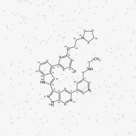 CCNCc1cncc(-c2cc3c(-c4cc5c(-c6cc(F)cc(OCCN7CCCC7)c6)cccc5[nH]4)n[nH]c3cn2)c1